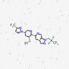 CCSc1cc(-n2ccc(C(F)(F)F)n2)cnc1-c1cc2cnn(CC(F)(F)C(F)(F)F)c2cn1